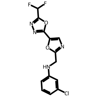 FC(F)c1nnc(-c2cnc(CNc3cccc(Cl)c3)o2)o1